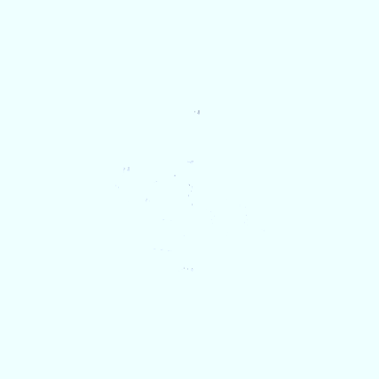 C=C1N(/C(C)=N\N)c2ccc(OC)cc2C(c2ccc(Cl)cc2)=NC1(C)NCCN